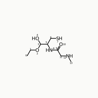 CCOC(O)C(CS)NC(=O)CNC